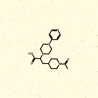 CC(=O)N1CCC(CC(C(=O)O)N2CCN(c3ccncc3)CC2)CC1